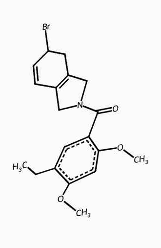 CCc1cc(C(=O)N2CC3=C(CC(Br)C=C3)C2)c(OC)cc1OC